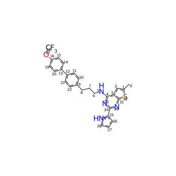 Cc1cc2c(NCCCc3ccc(-c4ccc(OC(F)(F)F)cc4)cc3)nc(-c3ccc[nH]3)nc2s1